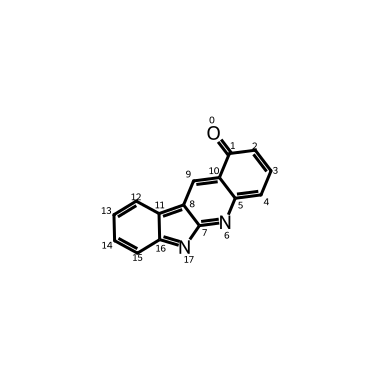 O=C1C=CC=c2nc3c(cc21)=c1ccccc1=N3